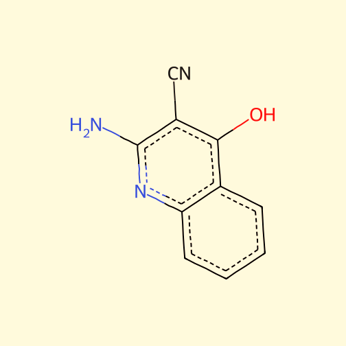 N#Cc1c(N)nc2ccccc2c1O